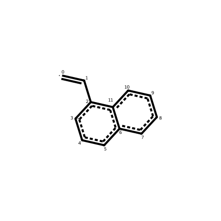 [CH]=Cc1[c]ccc2ccccc12